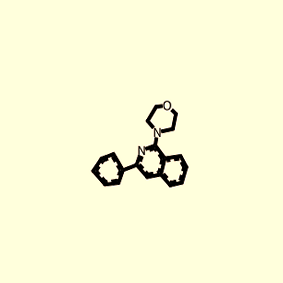 c1ccc(-c2cc3ccccc3c(N3CCOCC3)n2)cc1